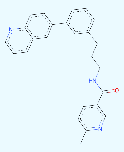 Cc1ccc(C(=O)NCCCc2cccc(-c3ccc4ncccc4c3)c2)cn1